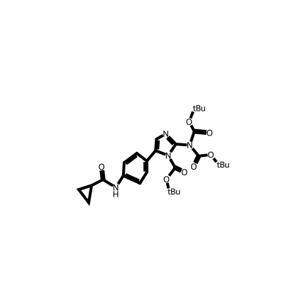 CC(C)(C)OC(=O)N(C(=O)OC(C)(C)C)c1ncc(-c2ccc(NC(=O)C3CC3)cc2)n1C(=O)OC(C)(C)C